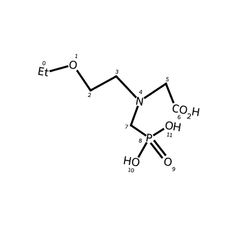 CCOCCN(CC(=O)O)CP(=O)(O)O